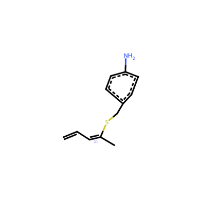 C=C/C=C(/C)SCc1ccc(N)cc1